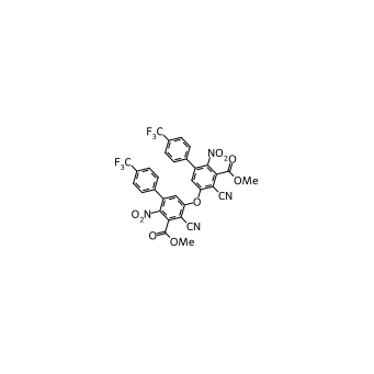 COC(=O)c1c(C#N)c(Oc2cc(-c3ccc(C(F)(F)F)cc3)c([N+](=O)[O-])c(C(=O)OC)c2C#N)cc(-c2ccc(C(F)(F)F)cc2)c1[N+](=O)[O-]